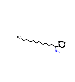 CCCCCCCCCCCC(N)c1[c]cccc1